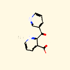 O=C([O-])c1cccnc1C(=O)c1cccnc1.[Na+]